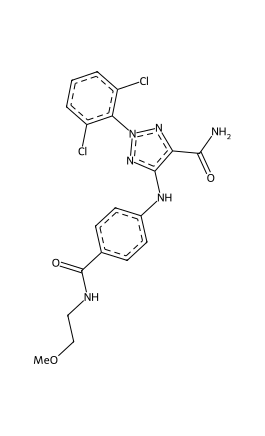 COCCNC(=O)c1ccc(Nc2nn(-c3c(Cl)cccc3Cl)nc2C(N)=O)cc1